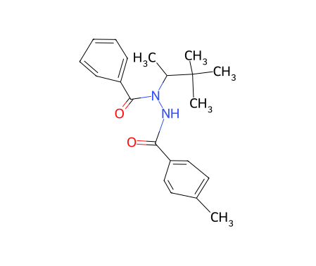 Cc1ccc(C(=O)NN(C(=O)c2ccccc2)C(C)C(C)(C)C)cc1